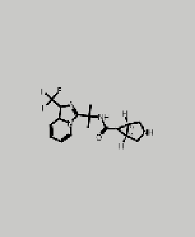 CC(C)(NC(=O)[C@H]1[C@@H]2CNC[C@@H]21)C1=NC(C(F)(F)F)C2C=CC=CN12